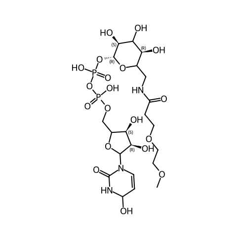 COCCOCCC(=O)NCC1O[C@H](OP(=O)(O)OP(=O)(O)OCC2OC(N3C=CC(O)NC3=O)[C@H](O)[C@@H]2O)[C@@H](O)C(O)[C@H]1O